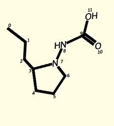 CCCC1CCCN1NC(=O)O